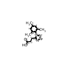 Cc1cc(C)c(-n2nnnc2CCC(=O)O)c(C)c1